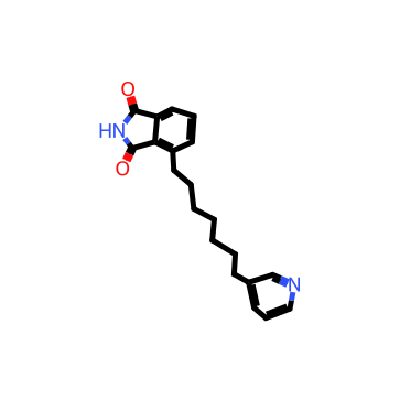 O=C1NC(=O)c2c(CCCCCCCc3cccnc3)cccc21